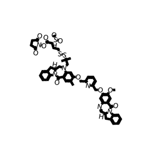 COc1cc2c(cc1OCc1cccc(COc3cc4c(cc3C)C(=O)N3c5ccccc5C[C@H]3CN4CC(C)(C)SSCCC(C(=O)ON3C(=O)CCC3=O)[SH](=O)=O)n1)N=C[C@@H]1Cc3ccccc3N1C2=O